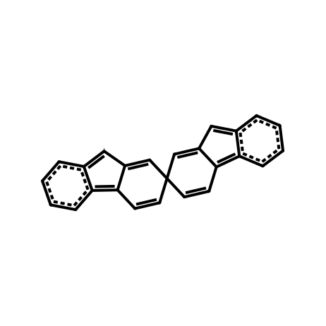 [C]1=c2ccccc2=C2C=CC3(C=CC4=c5ccccc5=CC4=C3)C=C12